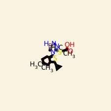 CC1(C)CCC2=C(N(CBr)/C(=N\N)SC(C)(C)C(=O)O)SC(C3CC3)C2C1